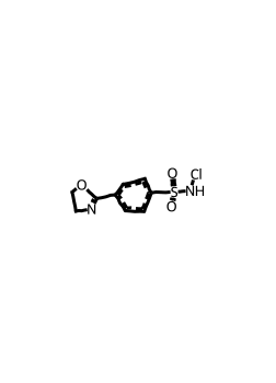 O=S(=O)(NCl)c1ccc(C2=NCCO2)cc1